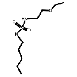 CCCCCNS(=O)(=O)NCCOCC